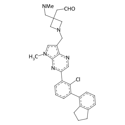 CNCC1(CC=O)CN(Cc2cn(C)c3nc(-c4cccc(-c5cccc6c5CCC6)c4Cl)cnc23)C1